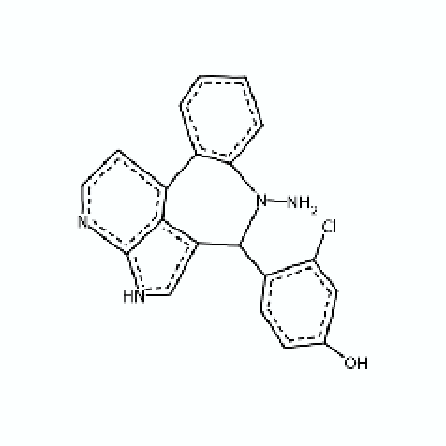 NN1c2ccccc2-c2ccnc3[nH]cc(c23)C1c1ccc(O)cc1Cl